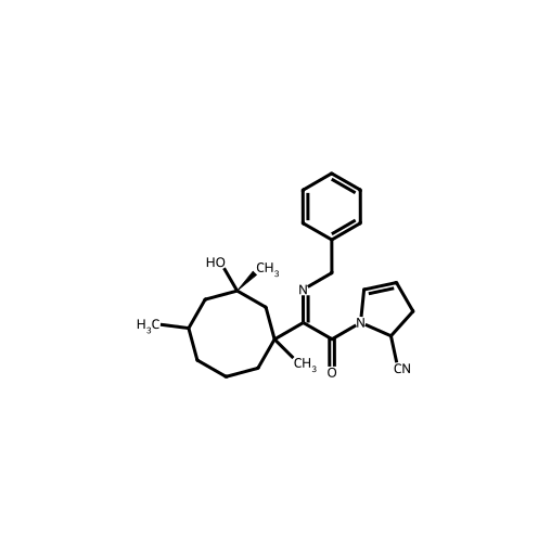 CC1CCCC(C)(/C(=N/Cc2ccccc2)C(=O)N2C=CCC2C#N)C[C@@](C)(O)C1